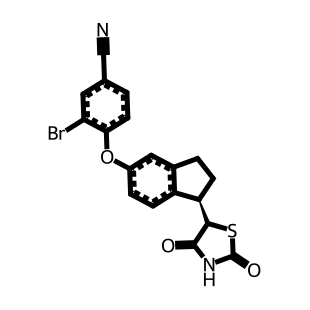 N#Cc1ccc(Oc2ccc3c(c2)CC[C@H]3C2SC(=O)NC2=O)c(Br)c1